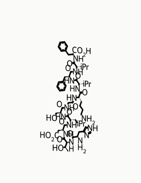 CC(C)C[C@H](NC(=O)[C@H](CC(=O)O)NC(=O)[C@@H](NC(=O)[C@@H](N)Cc1c[nH]cn1)[C@@H](C)O)C(=O)N[C@@H](CO)C(=O)NCC(=O)N[C@@H](CCCCN)C(=O)N[C@H](C(=O)N[C@@H](Cc1ccccc1)C(=O)N[C@H](C(=O)N[C@@H](Cc1ccccc1)C(=O)O)C(C)C)C(C)C